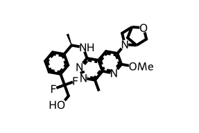 COc1nc2c(C)nnc(N[C@H](C)c3cccc(C(F)(F)CO)c3)c2cc1N1CC2CC1CO2